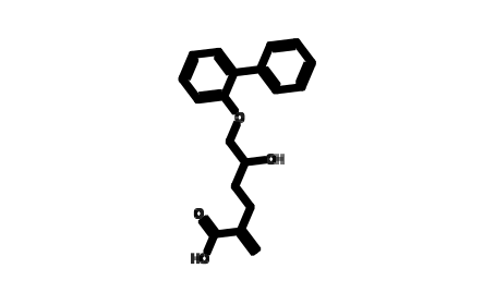 C=C(CCC(O)COc1ccccc1-c1ccccc1)C(=O)O